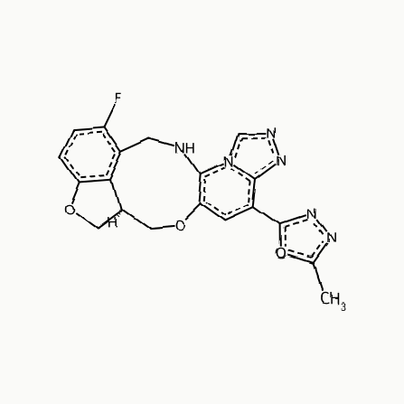 Cc1nnc(-c2cc3c(n4cnnc24)NCc2c(F)ccc4c2[C@H](CO4)CO3)o1